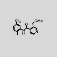 COCc1cnccc1C(=O)Nc1cc(C(F)(F)F)cnc1C